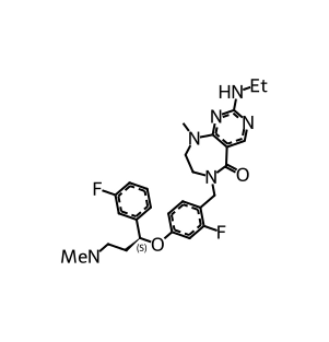 CCNc1ncc2c(n1)N(C)CCN(Cc1ccc(O[C@@H](CCNC)c3cccc(F)c3)cc1F)C2=O